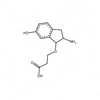 NC1Cc2ccc(O)cc2C1OCCC(=O)O